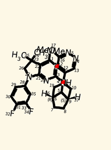 CNc1nc(NC2[C@@H]3CC[C@H]2CN(c2cnnc(OC)c2)C3)nc2c1C(C)(C)CN2c1ccc(F)c(F)c1